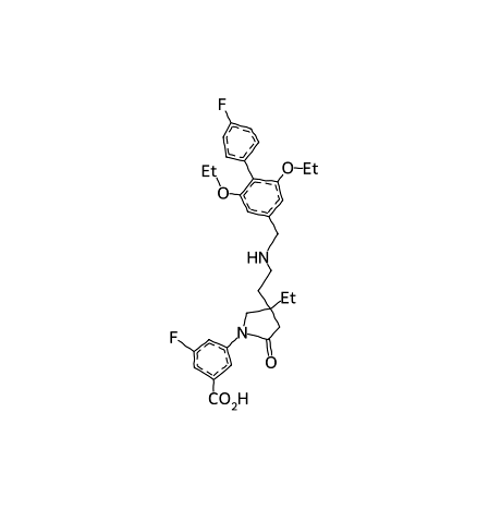 CCOc1cc(CNCCC2(CC)CC(=O)N(c3cc(F)cc(C(=O)O)c3)C2)cc(OCC)c1-c1ccc(F)cc1